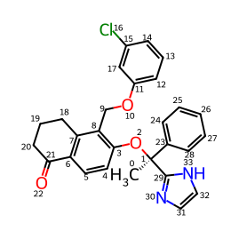 C[C@](Oc1ccc2c(c1COc1cccc(Cl)c1)CCCC2=O)(c1ccccc1)c1ncc[nH]1